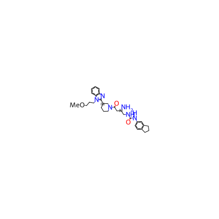 COCCCn1c([C@@H]2CCCN(C(=O)C[C@H](N)CNC(=O)Nc3ccc4c(c3)CCC4)C2)nc2ccccc21